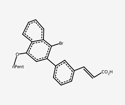 CCCCCOc1cc(-c2cccc(C=CC(=O)O)c2)c(Br)c2ccccc12